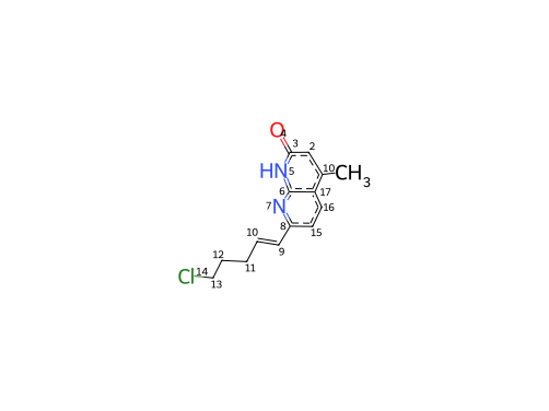 Cc1cc(=O)[nH]c2nc(C=CCCCCl)ccc12